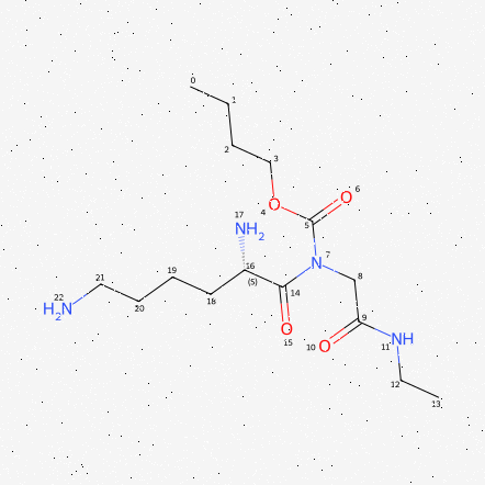 CCCCOC(=O)N(CC(=O)NCC)C(=O)[C@@H](N)CCCCN